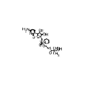 CC(C)(CO)C(=O)SCCOP(=O)(OC[C@H]1O[C@@H](n2ccc(N)nc2=O)[C@@H](O)C1O)N1CCCCC1